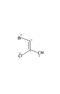 N#CC(Cl)=CBr